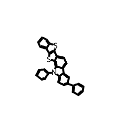 c1ccc(-c2ccc3c(c2)c2ccc4c5sc6ccccc6c5sc4c2n3-c2ccccc2)cc1